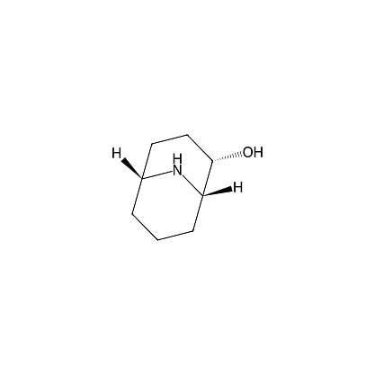 O[C@H]1CC[C@H]2CCC[C@@H]1N2